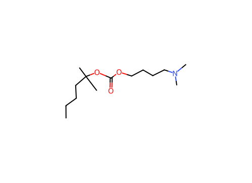 CCCCC(C)(C)OC(=O)OCCCCN(C)C